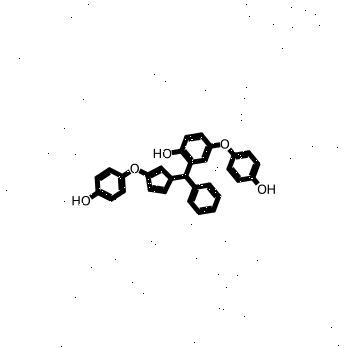 Oc1ccc(OC2=CC(C(c3ccccc3)c3cc(Oc4ccc(O)cc4)ccc3O)C=C2)cc1